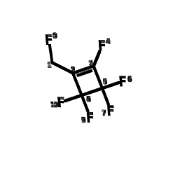 FCC1=C(F)C(F)(F)C1(F)F